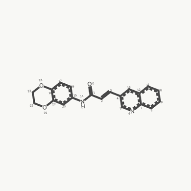 O=C(/C=C/c1cnc2ccccc2c1)Nc1ccc2c(c1)OCCO2